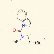 CCCN(CCC(C)(C)C)C(=O)n1ccc2ccccc21